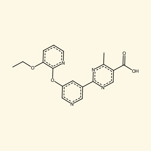 CCOc1cccnc1Oc1cncc(-c2ncc(C(=O)O)c(C)n2)c1